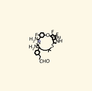 CCCCc1c2c(F)c(F)c3[nH]cc(c13)SCC(C)(C)CCC[C@](C)(c1cccc(CCC=O)c1)[C@](C)(N)/N=C(\N)c1cc(ccc1F)O2